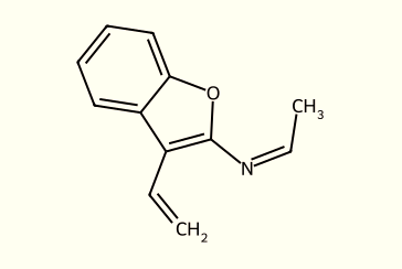 C=Cc1c(/N=C\C)oc2ccccc12